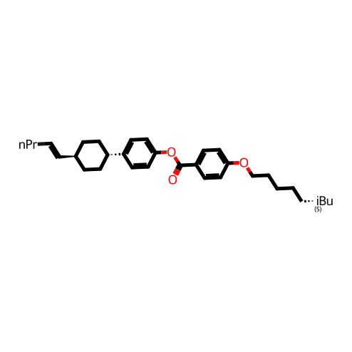 CCCC=C[C@H]1CC[C@H](c2ccc(OC(=O)c3ccc(OCCCCC[C@@H](C)CC)cc3)cc2)CC1